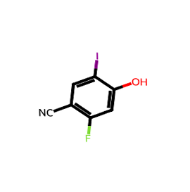 N#Cc1cc(I)c(O)cc1F